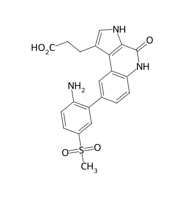 CS(=O)(=O)c1ccc(N)c(-c2ccc3[nH]c(=O)c4[nH]cc(CCC(=O)O)c4c3c2)c1